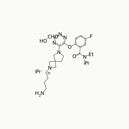 CCN(C(=O)c1cc(F)ccc1Oc1nncnc1N1CCC2(C1)CN([C@H](CCCN)C(C)C)C2)C(C)C.O=CO